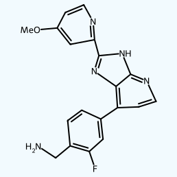 COc1ccnc(-c2nc3c(-c4ccc(CN)c(F)c4)ccnc3[nH]2)c1